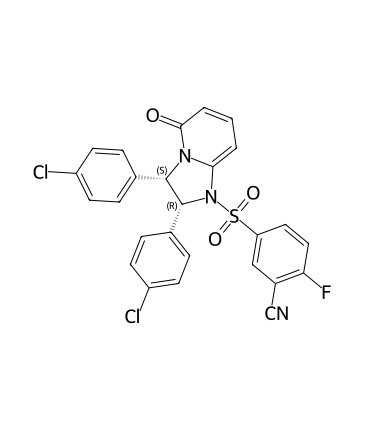 N#Cc1cc(S(=O)(=O)N2c3cccc(=O)n3[C@@H](c3ccc(Cl)cc3)[C@H]2c2ccc(Cl)cc2)ccc1F